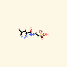 CC(C)CC(N)C(=O)NCCS(=O)(=O)O